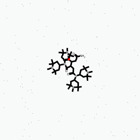 CN1C(C)(C)CC(N(C(=O)CC(C(=O)N(C2CC(C)(C)N(C)C(C)(C)C2)C2CC(C)(C)N(C)C(C)(C)C2)C(CC(N)=O)C(N)=O)C2CC(C)(C)N(C)C(C)(C)C2)CC1(C)C